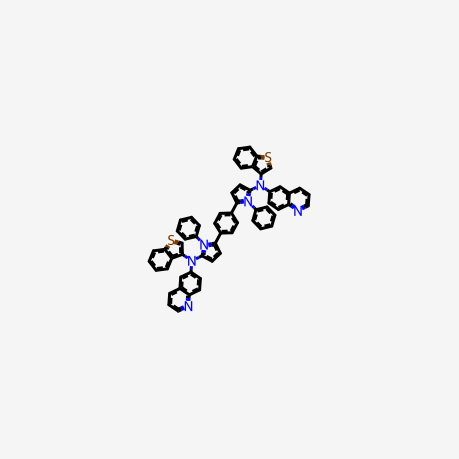 c1ccc(-n2c(-c3ccc(-c4ccc(N(c5ccc6ncccc6c5)c5csc6ccccc56)n4-c4ccccc4)cc3)ccc2N(c2ccc3ncccc3c2)c2csc3ccccc23)cc1